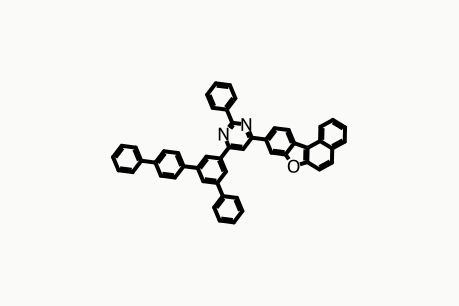 c1ccc(-c2ccc(-c3cc(-c4ccccc4)cc(-c4cc(-c5ccc6c(c5)oc5ccc7ccccc7c56)nc(-c5ccccc5)n4)c3)cc2)cc1